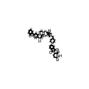 O=C1CCC(N2C(=O)c3ccc(N4CCC(CN5C[C@@H]6[C@H](C5)[C@H]6CN5CCN6c7cc(-c8ccccc8O)nnc7NC[C@H]6C5)CC4)cc3C2=O)C(=O)N1